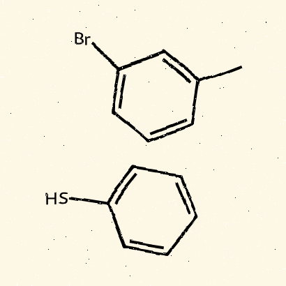 Cc1cccc(Br)c1.Sc1ccccc1